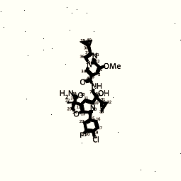 COc1cc(C(=O)NCC(O)(c2cc3c(c(-c4ccc(Cl)c(F)c4)n2)OC[C@]3(C)C(N)=O)C2CC2)cn2cc(C3CC3)nc12